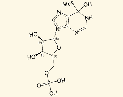 CSC1(O)NC=Nc2c1ncn2[C@@H]1O[C@H](COP(=O)(O)O)[C@@H](O)[C@H]1O